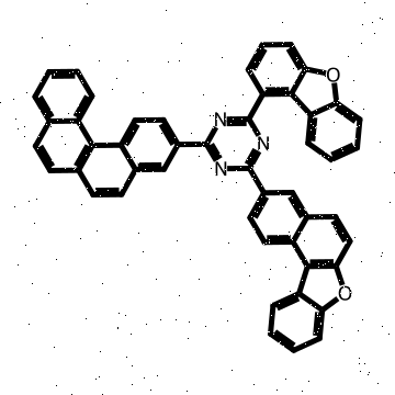 c1ccc2c(c1)ccc1ccc3cc(-c4nc(-c5ccc6c(ccc7oc8ccccc8c76)c5)nc(-c5cccc6oc7ccccc7c56)n4)ccc3c12